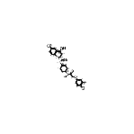 CN(C(=O)COc1ccc(Cl)c(F)c1)C1CCC(NC(=O)[C@H]2C[C@@H](O)c3cc(Cl)ccc3O2)CC1